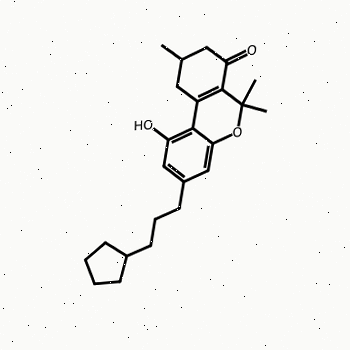 CC1CC(=O)C2=C(C1)c1c(O)cc(CCCC3CCCC3)cc1OC2(C)C